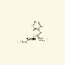 NCOBCC(Cc1ccccc1)C(=O)O